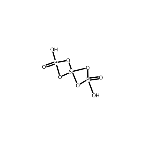 O=P1(O)O[Si]2(O1)OP(=O)(O)O2